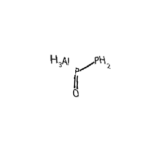 O=PP.[AlH3]